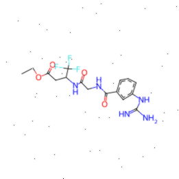 CCOC(=O)CC(NC(=O)CNC(=O)c1cccc(NC(=N)N)c1)C(F)(F)F